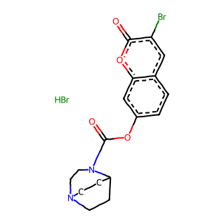 Br.O=C(Oc1ccc2cc(Br)c(=O)oc2c1)N1CCN2CCC1CC2